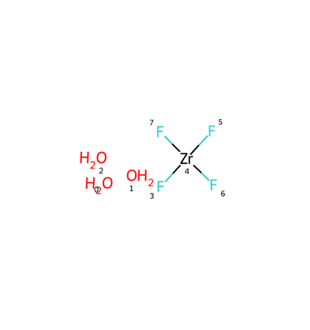 O.O.O.[F][Zr]([F])([F])[F]